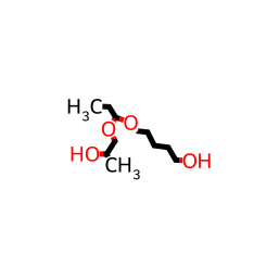 CCC(OCCCCCO)OCC(C)O